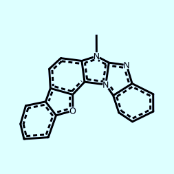 Cn1c2ccc3c4ccccc4oc3c2n2c3ccccc3nc12